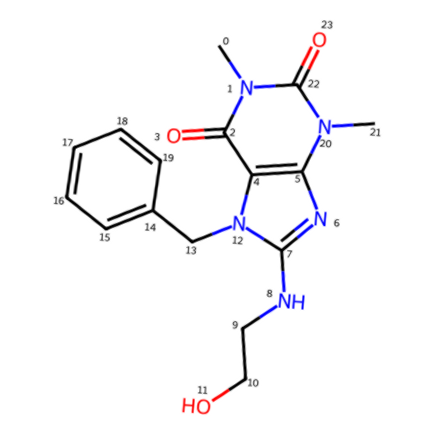 Cn1c(=O)c2c(nc(NCCO)n2Cc2ccccc2)n(C)c1=O